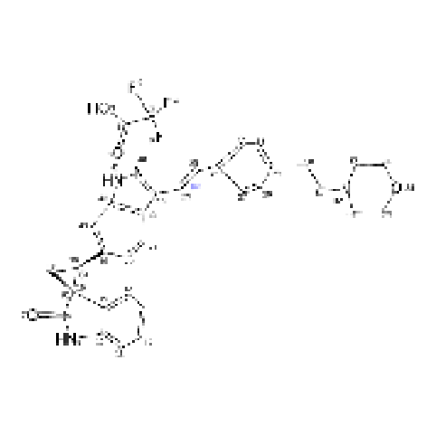 O=C(O)C(F)(F)F.O=C1Nc2ccccc2[C@]12C[C@H]2c1ccc2c(/C=C/c3ccc(CCN4CCOCC4)cc3)n[nH]c2c1